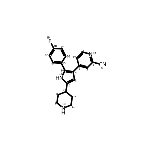 N#Cc1cc(-c2cc(C3CCNCC3)[nH]c2-c2ccc(F)cc2)ccn1